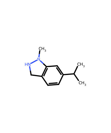 CC(C)c1ccc2c(c1)N(C)NC2